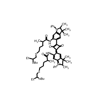 CCCCC(CC)CSCCCC(C)C(=O)Nc1cc2c(cc1C1=C([O-])/C(=c3/cc4c(cc3NC(=O)C(C)CCCSCC(CC)CCCC)=[N+](C(C)C)C(C)C4(C)C)C1=O)C(C)(C)C(C)N2C(C)C